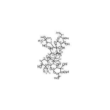 CC(C)(O)C(O)CCC(C)(OC1OC(CO)C(O)C(O)C1O)C1CCC2(C)C1C(O)CC1C3(C)CCC(O)C(C)(C)C3C(OC3OC(CO)C(O)C(O)C3O)CC12C